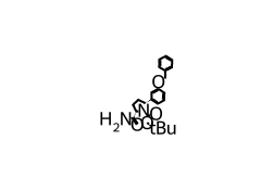 CC(C)(C)OC(=O)N1[C@@H](c2cccc(OCc3ccccc3)c2)CC[C@H]1C(N)=O